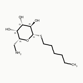 CCCCCCS[C@@H]1O[C@H](CN)[C@H](O)[C@H](O)[C@H]1O